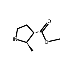 COC(=O)[C@H]1CCN[C@@H]1C